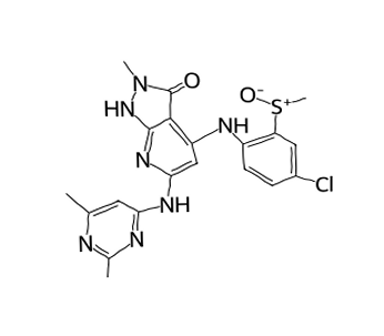 Cc1cc(Nc2cc(Nc3ccc(Cl)cc3[S+](C)[O-])c3c(=O)n(C)[nH]c3n2)nc(C)n1